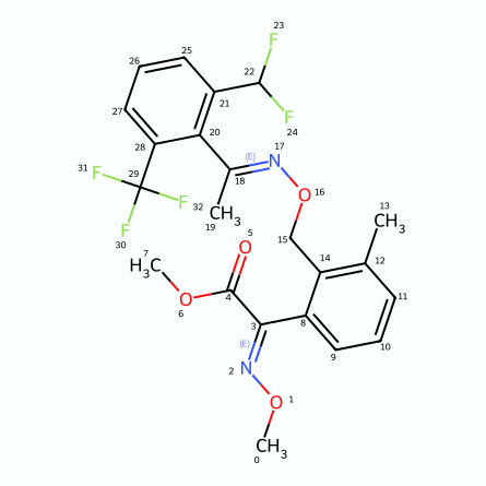 CO/N=C(/C(=O)OC)c1cccc(C)c1CO/N=C(\C)c1c(C(F)F)cccc1C(F)(F)F